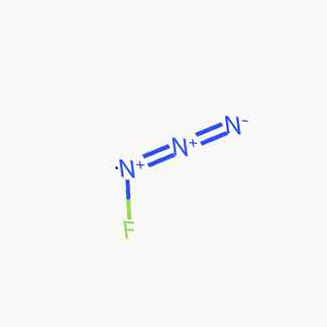 [N-]=[N+]=[N+]F